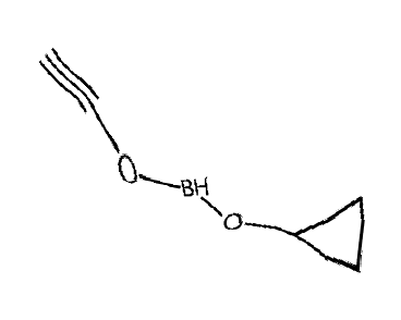 C#COBOC1CC1